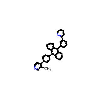 Cc1cnccc1-c1ccc(-c2c3ccccc3c(-c3cccc(-c4ccccn4)c3)c3ccccc23)cc1